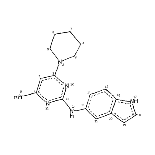 CCCc1cc(N2CCCCC2)nc(Nc2ccc3[nH]ccc3c2)n1